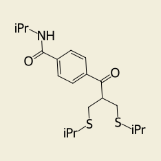 CC(C)NC(=O)c1ccc(C(=O)C(CSC(C)C)CSC(C)C)cc1